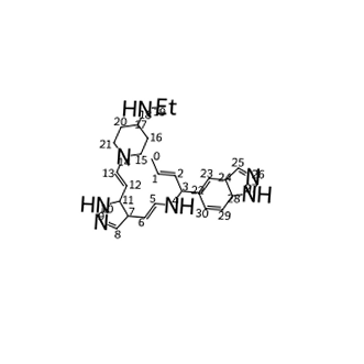 C/C=C/C(N/C=C/C1C=NNC1/C=C/N1CCC(NCC)CC1)C1=CC2C=NNC2C=C1